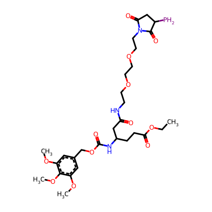 CCOC(=O)CCC(CC(=O)NCCOCCOCCN1C(=O)CC(P)C1=O)NC(=O)OCc1cc(OC)c(OC)c(OC)c1